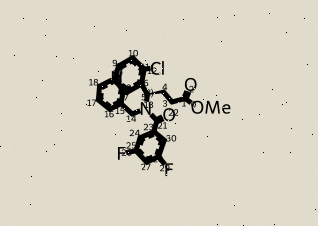 COC(=O)CC[C@H](c1ccccc1Cl)N(Cc1cccnc1)C(=O)c1cc(F)cc(F)c1